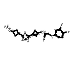 O=C(COc1ccc(Cl)c(F)c1)NC12CC(c3nnc(C4CC(OC(F)(F)F)C4)o3)(C1)C2